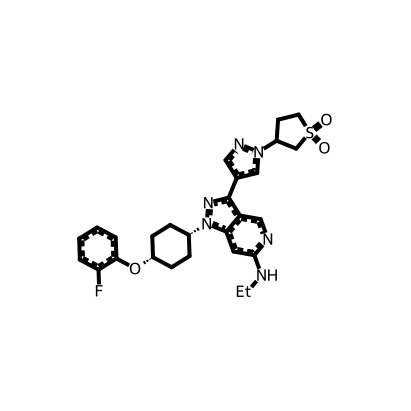 CCNc1cc2c(cn1)c(-c1cnn(C3CCS(=O)(=O)C3)c1)nn2[C@H]1CC[C@@H](Oc2ccccc2F)CC1